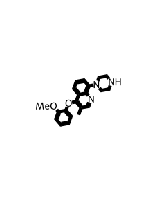 COc1ccccc1Oc1c(C)cnc2c(N3CCNCC3)cccc12